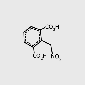 O=C(O)c1cccc(C(=O)O)c1C[N+](=O)[O-]